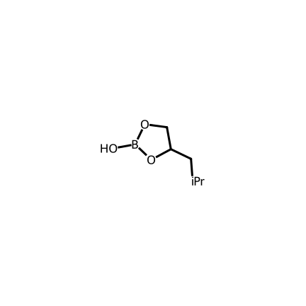 CC(C)CC1COB(O)O1